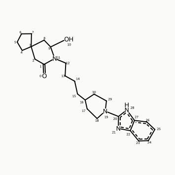 O=C1CC2(CCCC2)CC(O)N1CCCCC1CCN(c2nc3ccccc3[nH]2)CC1